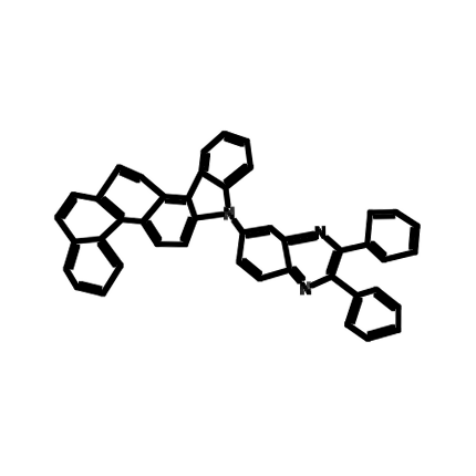 c1ccc(-c2nc3ccc(-n4c5ccccc5c5c6ccc7ccc8ccccc8c7c6ccc54)cc3nc2-c2ccccc2)cc1